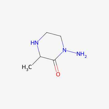 CC1NCCN(N)C1=O